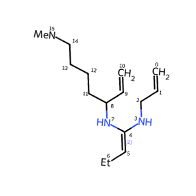 C=CCN/C(=C/CC)NC(C=C)CCCCNC